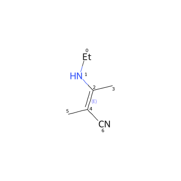 CCN/C(C)=C(\C)C#N